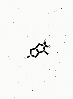 CN1C2CN(C(C)(C)C)CC2CS1(=O)=O